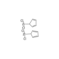 [Cl][Zr]([Cl])[CH]1C=CC=C1.[Cl][Zr]([Cl])[CH]1C=CC=C1